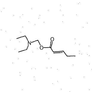 CCC=CC(=O)OCN(CC)CC